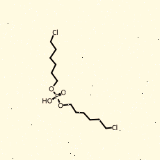 O=P(O)(OCCCCCCCl)OCCCCCCCl